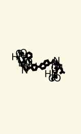 C=C(C)CN(Cc1ncc(-c2ccc3cc(-c4ccc(-c5cnc(CN(CCC)C(=O)[C@H](NC(=O)OC)c6ccccc6OC)[nH]5)cc4)ccc3c2)[nH]1)C(=O)CNC(=O)OC